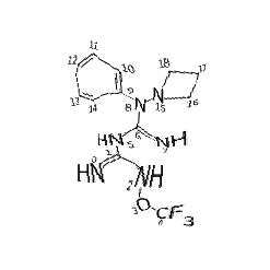 N=C(NOC(F)(F)F)NC(=N)N(c1ccccc1)N1CCC1